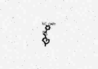 C\C1=C(c2cnc(-c3ccc(OC(C)C)c(C#N)c3)s2)/C=C\C=C(/C)CCC1